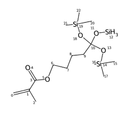 C=C(C)C(=O)OCCCCC(O[SiH3])(O[Si](C)(C)C)O[Si](C)(C)C